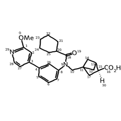 COc1cc(-c2cccc(N(CC34CC(C3)[C@@H](C(=O)O)C4)C(=O)C3CCCCC3)c2)ccn1